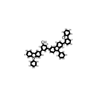 Cc1cc(-c2ccc3c(c2)-c2ccc(-c4cccc5c4oc4ccccc45)cc2C3c2ccccc2)cc(-c2ccc3c(c2)c2ccccc2n3-c2ccccc2)c1